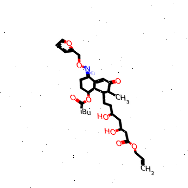 C=CCOC(=O)CC(O)CC(O)CCC1C(C)C(=O)C=C2/C(=N/OCc3ccco3)CCC(OC(=O)C(C)CC)C21